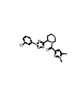 Cc1cc(C(=O)N2CCCCC2c2nnn(-c3cccc(Cl)c3)n2)nn1C